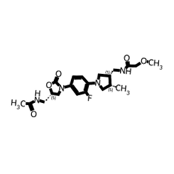 COCC(=O)NC[C@H]1CN(c2ccc(N3C[C@H](CNC(C)=O)OC3=O)cc2F)C[C@H]1C